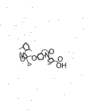 Cc1cccc(C)c1-c1noc(C2CC2)c1COc1ccc2c(c1)CCC(=O)N2c1cc(C(=O)O)cs1